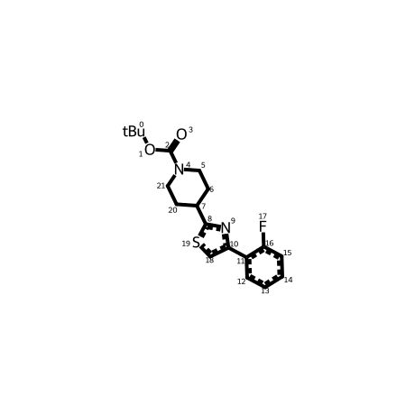 CC(C)(C)OC(=O)N1CCC(c2nc(-c3ccccc3F)cs2)CC1